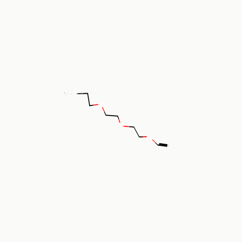 C=COCCOCCOCCOC